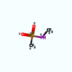 O=S(=O)(PC(F)(F)F)C(F)(F)F